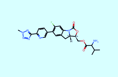 CC(C)C(N)C(=O)OC[C@@H]1OC(=O)N2c3cc(F)c(-c4ccc(-c5nnn(C)n5)nc4)cc3C[C@@H]12